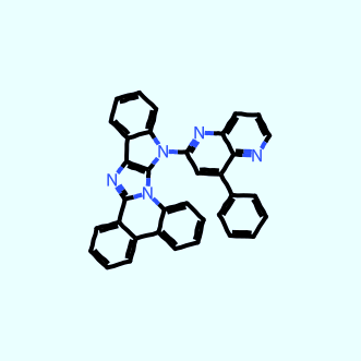 c1ccc(-c2cc(-n3c4ccccc4c4nc5c6ccccc6c6ccccc6n5c43)nc3cccnc23)cc1